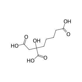 O=C(O)CCCCC(O)(CC(=O)O)C(=O)O